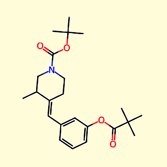 CC1CN(C(=O)OC(C)(C)C)CCC1=Cc1cccc(OC(=O)C(C)(C)C)c1